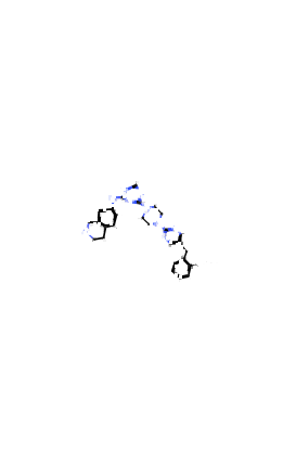 COc1ccccc1Cc1cnc(N2CCN(c3ncnc(Nc4ccc5c(c4)CNCC5)n3)CC2)nc1